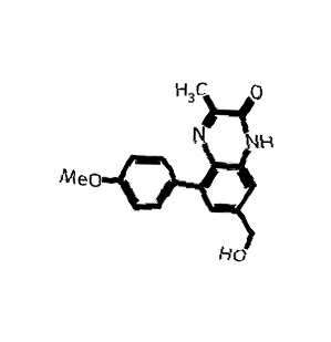 COc1ccc(-c2cc(CO)cc3[nH]c(=O)c(C)nc23)cc1